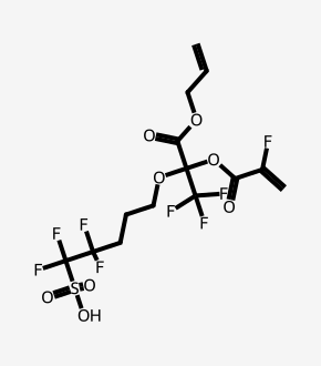 C=CCOC(=O)C(OCCCC(F)(F)C(F)(F)S(=O)(=O)O)(OC(=O)C(=C)F)C(F)(F)F